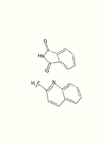 Cc1ccc2ccccc2n1.O=C1NC(=O)c2ccccc21